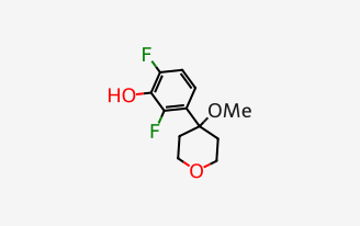 COC1(c2ccc(F)c(O)c2F)CCOCC1